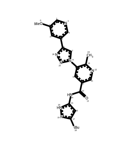 COc1cncc(-c2cn(-c3cc(C(=O)Nc4cc(C(C)(C)C)n[nH]4)cnc3C)nn2)c1